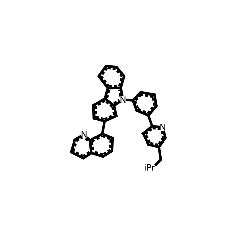 CC(C)Cc1ccc(-c2cccc(-n3c4ccccc4c4ccc(-c5cccc6cccnc56)cc43)c2)nc1